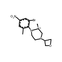 Cc1cc([N+](=O)[O-])cc(Br)c1N1CCN(C2COC2)C[C@@H]1C